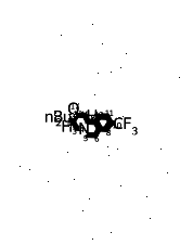 [2H][C@@]1(CCCC)CN2CCc3cc(C(F)(F)F)ccc3[C@H]2CC1=O